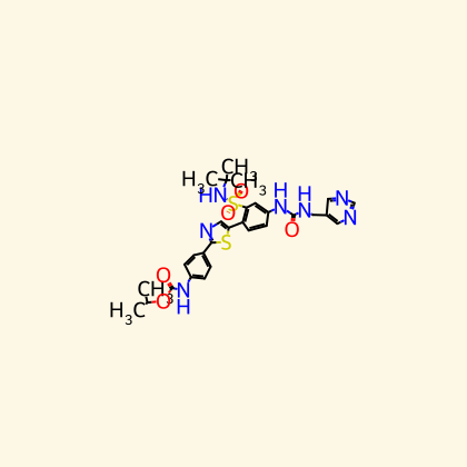 CC(C)OC(=O)Nc1ccc(-c2ncc(-c3ccc(NC(=O)NCc4cncnc4)cc3S(=O)(=O)NC(C)(C)C)s2)cc1